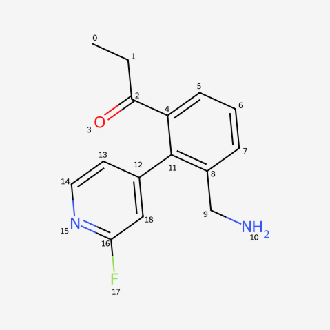 CCC(=O)c1cccc(CN)c1-c1ccnc(F)c1